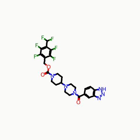 O=C(OCc1c(F)c(F)c(C(F)F)c(F)c1F)N1CCC(N2CCN(C(=O)c3ccc4[nH]nnc4c3)CC2)CC1